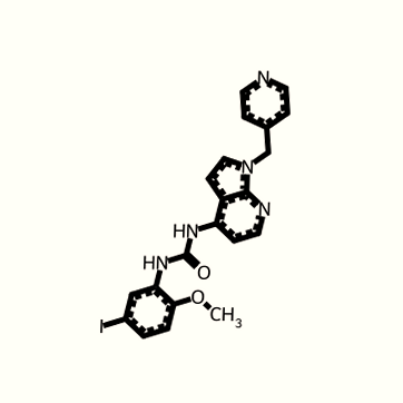 COc1ccc(I)cc1NC(=O)Nc1ccnc2c1ccn2Cc1ccncc1